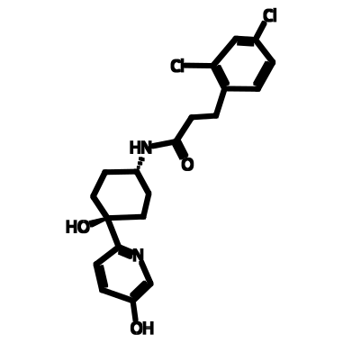 O=C(CCc1ccc(Cl)cc1Cl)N[C@H]1CC[C@@](O)(c2ccc(O)cn2)CC1